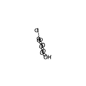 C=CC(=O)CCCCCCCOC(=O)Oc1ccc(C(=O)Oc2ccc(OC(=O)c3ccc(O)c(C)c3)cc2)cc1